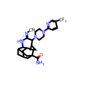 N#C/N=C(/NC1C2CC3CC1CC(C(N)=O)(C3)C2)C(C1CC1)N1CCN(c2ccc(C(F)(F)F)cn2)CC1